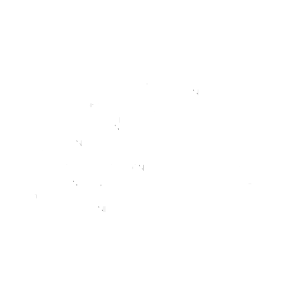 CC(C)Cn1c(NCC2CN(Cc3ccc(F)cc3)CCO2)c(C#N)c(=N)n(CC(C)C)c1=S